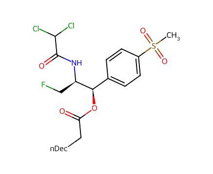 CCCCCCCCCCCC(=O)O[C@H](c1ccc(S(C)(=O)=O)cc1)[C@@H](CF)NC(=O)C(Cl)Cl